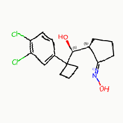 O/N=C1\CCC[C@@H]1[C@H](O)C1(c2ccc(Cl)c(Cl)c2)CCC1